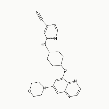 N#Cc1ccnc(NC2CCC(Oc3cc(N4CCOCC4)cc4nccnc34)CC2)c1